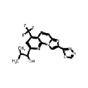 CC(C)C(O)c1cc(C(F)(F)F)c2ccc3nc(-c4nnco4)cn3c2n1